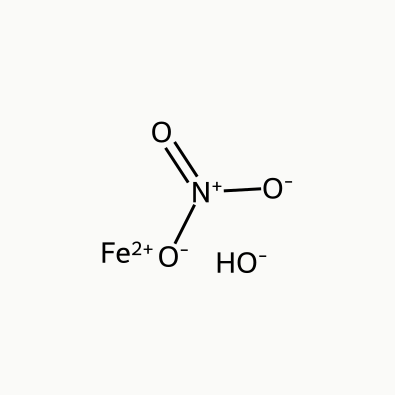 O=[N+]([O-])[O-].[Fe+2].[OH-]